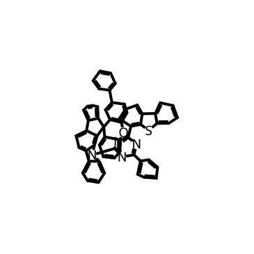 c1ccc(-c2ccc3c(c2)C2(c4ccccc4O3)c3ccccc3-c3ccc4c5ccccc5n(-c5nc(-c6ccccc6)nc(-c6cccc7c6sc6ccccc67)n5)c4c32)cc1